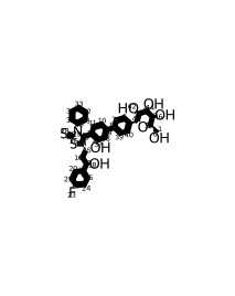 OC[C@H]1O[C@@H](c2ccc(-c3ccc(C4[C@H](CC[C@H](O)c5ccc(F)cc5)SC(=S)N4c4ccccc4)c(O)c3)cc2)[C@H](O)[C@@H](O)[C@@H]1O